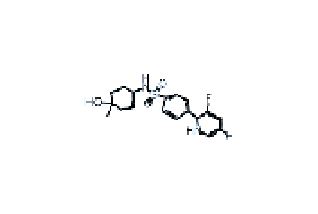 CC1(O)CCC(NS(=O)(=O)c2ccc(C3NC=C(F)C=C3F)cc2)CC1